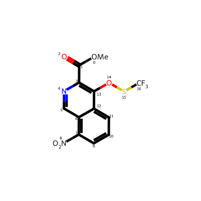 COC(=O)c1ncc2c([N+](=O)[O-])cccc2c1OSC(F)(F)F